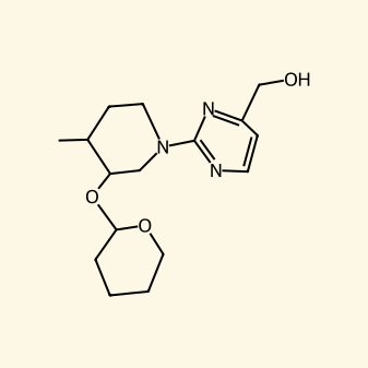 CC1CCN(c2nccc(CO)n2)CC1OC1CCCCO1